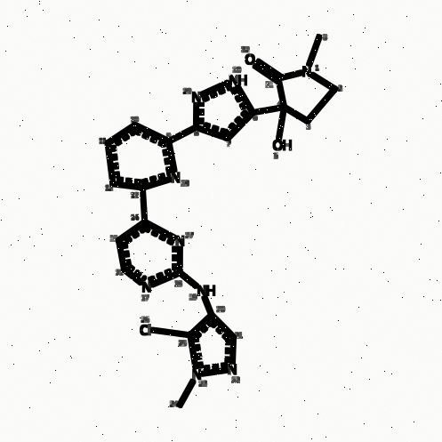 CN1CCC(O)(c2cc(-c3cccc(-c4ccnc(Nc5cnn(C)c5Cl)n4)n3)n[nH]2)C1=O